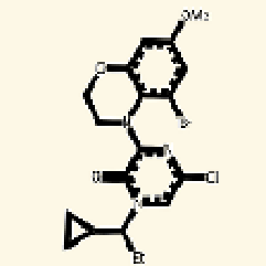 CCC(C1CC1)n1cc(Cl)nc(N2CCOc3cc(OC)cc(Br)c32)c1=O